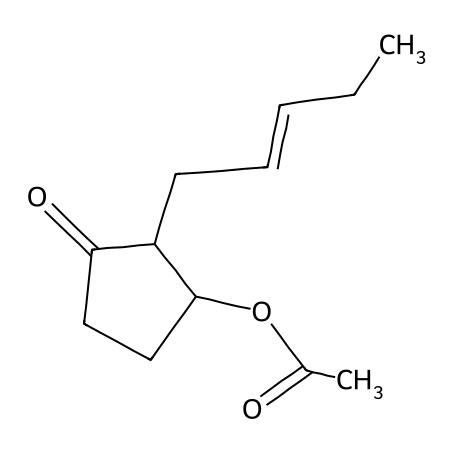 CC/C=C/CC1C(=O)CCC1OC(C)=O